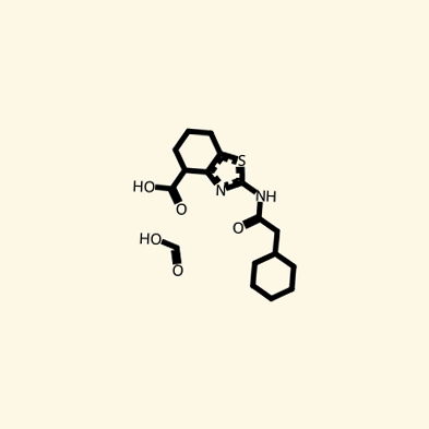 O=C(CC1CCCCC1)Nc1nc2c(s1)CCCC2C(=O)O.O=CO